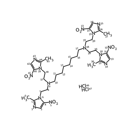 Cc1ncc([N+](=O)[O-])n1CCN(CCCCCCCCN(CCn1c([N+](=O)[O-])cnc1C)CCn1c([N+](=O)[O-])cnc1C)CCn1c([N+](=O)[O-])cnc1C.Cl.Cl